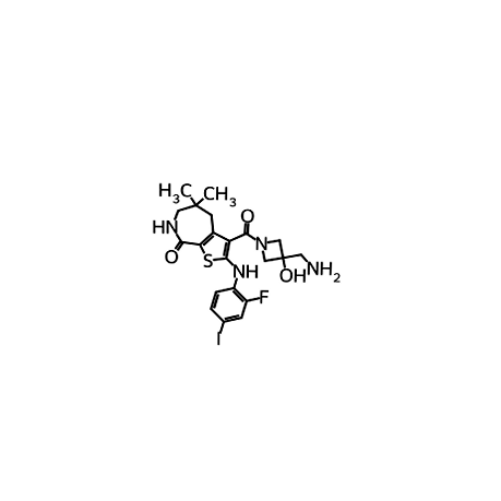 CC1(C)CNC(=O)c2sc(Nc3ccc(I)cc3F)c(C(=O)N3CC(O)(CN)C3)c2C1